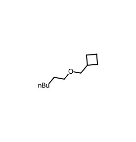 [CH2]CCCCCOCC1CCC1